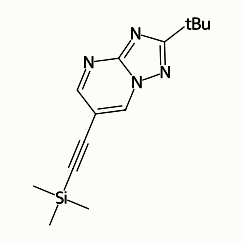 CC(C)(C)c1nc2ncc(C#C[Si](C)(C)C)cn2n1